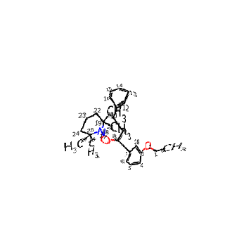 CCOc1cccc(C(CCc2ccccc2)ON2C(C)(C)CCCC2(C)C)c1